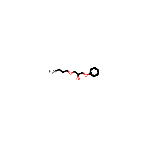 OC(COCCC[SiH3])COc1ccccc1